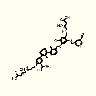 Cc1c(COc2cc(OCc3cncc(C#N)c3)c(CNC[C@@H](O)CC(=O)O)cc2Cl)cccc1-c1cccc(-c2ccc(OCCNC[C@@H](O)CC(=O)O)c(C(N)O)c2)c1C